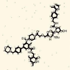 CCN(c1cc(-c2ccc(CN3CCOCC3)cc2)cc(C(=O)NCc2c(C)cc(C)[nH]c2=O)c1C)C1CCN(C(=O)COCC(=O)N[C@H](C(=O)N2C[C@H](O)C[C@@H]2C(=O)NCc2ccc(-c3scnc3C)cc2)C(C)(C)C)CC1